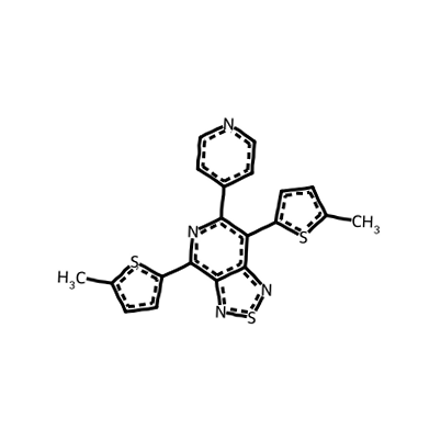 Cc1ccc(-c2nc(-c3ccncc3)c(-c3ccc(C)s3)c3nsnc23)s1